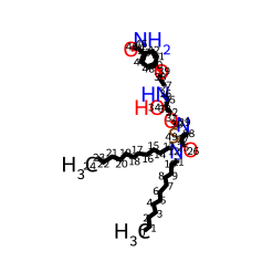 CCCCCCCCCCCCN(CCCCCCCCCCCC)C(=O)c1cnc(OCC(O)CNCCOc2ccc(C(N)=O)cc2)s1